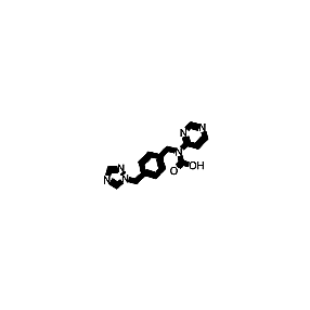 O=C(O)N(Cc1ccc(Cn2cncn2)cc1)c1ccncn1